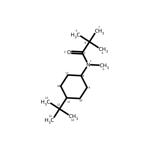 CN(C(=O)C(C)(C)C)C1CCC(C(C)(C)C)CC1